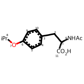 CC(=O)NC(Cc1ccc(OC(C)C)cc1)C(=O)O